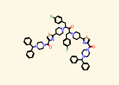 O=C(C(Cc1ccc(F)cc1)N1CCC(c2nc(C(=O)N3CCN(C(c4ccccc4)c4ccccc4)CC3)cs2)CC1)C(Cc1ccc(F)cc1)N1CCC(c2nc(C(=O)N3CCN(C(c4ccccc4)c4ccccc4)CC3)cs2)CC1